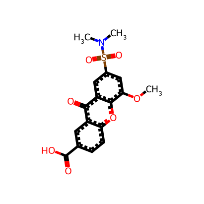 COc1cc(S(=O)(=O)N(C)C)cc2c(=O)c3cc(C(=O)O)ccc3oc12